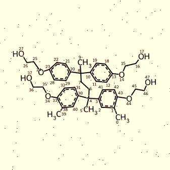 Cc1cc(C(C)(CCC(C)(c2ccc(OCCO)cc2)c2ccc(OCCO)cc2)c2ccc(OCCO)c(C)c2)ccc1OCCO